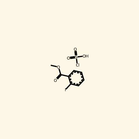 COC(=O)c1ccccc1I.O=S(=O)(O)Cl